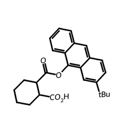 CC(C)(C)c1ccc2cc3ccccc3c(OC(=O)C3CCCCC3C(=O)O)c2c1